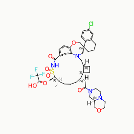 C[C@@H]1[C@@H](C)CCC[C@@H](CC(=O)N2CCN3CCOC[C@H]3C2)[C@@H]2CC[C@H]2CN2C[C@@]3(CCCc4cc(Cl)ccc43)COc3ccc(cc32)C(=O)NS1(=O)=O.O=C(O)C(F)(F)F